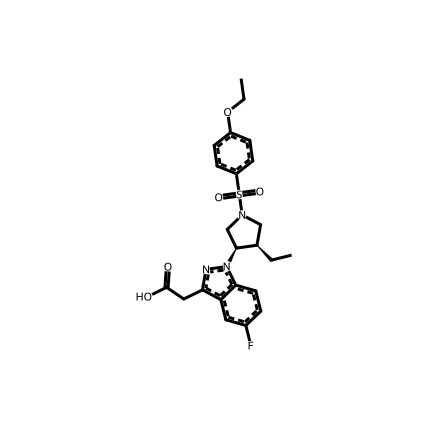 CCOc1ccc(S(=O)(=O)N2C[C@@H](CC)[C@@H](n3nc(CC(=O)O)c4cc(F)ccc43)C2)cc1